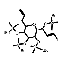 C=CCC1O[C@@H](C(/C=C/I)O[Si](C)(C)C(C)(C)C)C(O[Si](C)(C)C(C)(C)C)C(O[Si](C)(C)C(C)(C)C)C1O[Si](C)(C)C(C)(C)C